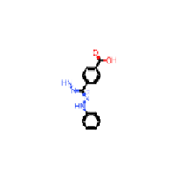 N=N/C(=N\Nc1ccccc1)c1ccc(C(=O)O)cc1